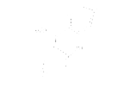 CO[C@H](c1ccccc1)[C@@H](CO)N(C)P